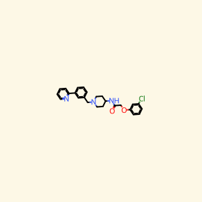 O=C(COc1cccc(Cl)c1)NC1CCN(Cc2cccc(-c3ccccn3)c2)CC1